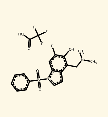 CN(C)Cc1c(O)c(F)cc2c1ccn2S(=O)(=O)c1ccccc1.O=C(O)C(F)(F)F